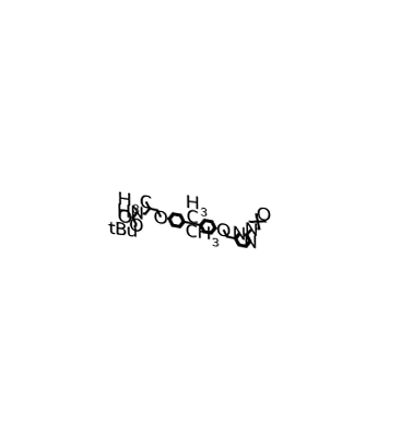 CC(CNC(=O)OC(C)(C)C)COc1ccc(C(C)(C)c2ccc(OCc3ccnc(N4CC5(COC5)C4)n3)cc2)cc1